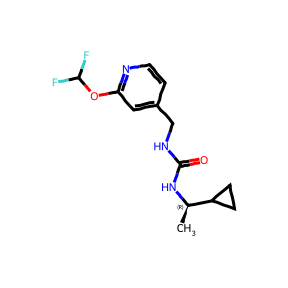 C[C@@H](NC(=O)NCc1ccnc(OC(F)F)c1)C1CC1